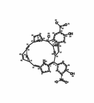 O=[N+]([O-])c1cc(C2=c3ccc([nH]3)=CC3=NC(=Cc4ccc([nH]4)C(Cl)(c4ccc(O)c([N+](=O)[O-])c4)C4(Cl)C=CC2=N4)C=C3)ccc1O